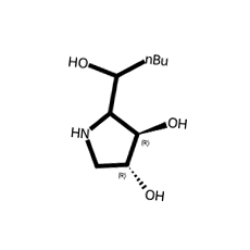 CCCCC(O)C1NC[C@@H](O)[C@@H]1O